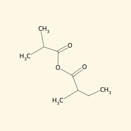 CCC(C)C(=O)OC(=O)C(C)C